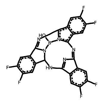 OB1N2C3=Nc4c5cc(F)c(F)cc5c(n41)/N=C1\N=C(NC2c2cc(F)c(F)cc23)c2cc(F)c(F)cc21